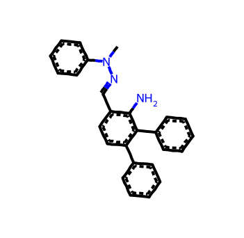 CN(N=Cc1ccc(-c2ccccc2)c(-c2ccccc2)c1N)c1ccccc1